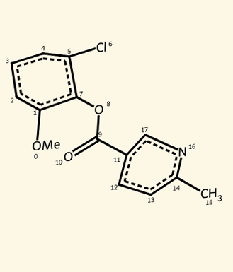 COc1cccc(Cl)c1OC(=O)c1ccc(C)nc1